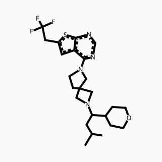 CC(C)CC(C1CCOCC1)N1CC2(CCN(c3ncnc4sc(CC(F)(F)F)cc34)C2)C1